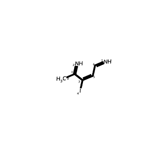 CC(=N)/C(I)=C\C=N